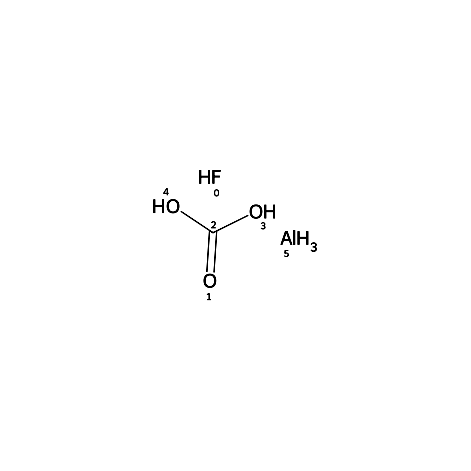 F.O=C(O)O.[AlH3]